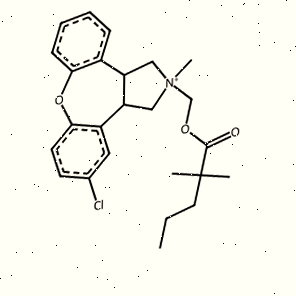 CCCC(C)(C)C(=O)OC[N+]1(C)CC2c3ccccc3Oc3ccc(Cl)cc3C2C1